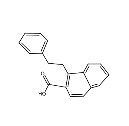 O=C(O)c1ccc2ccccc2c1CCc1ccccc1